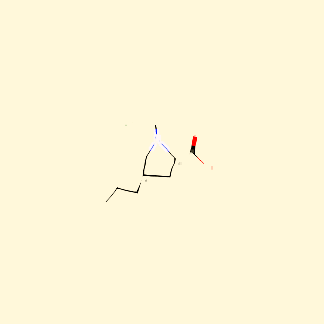 CCC[C@@H]1C[C@@H](C(=O)O)N(C)C1.Cl